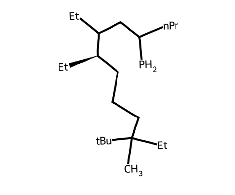 CCCC(P)CC(CC)[C@H](CC)CCCC(C)(CC)C(C)(C)C